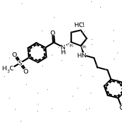 CS(=O)(=O)c1ccc(C(=O)N[C@@H]2CCC[C@H]2NCCCc2ccc(Cl)cc2)cc1.Cl